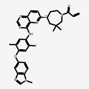 C=CC(=O)N1CC[C@H](c2ccc3ncnc(Nc4cc(C)c(Oc5ccc6c(c5)ncn6C)cc4F)c3n2)CC(C)(C)C1